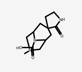 CN1CC2CC3(CCNC3=O)CC(C1)N2C(=O)O